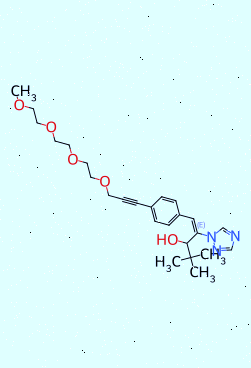 COCCOCCOCCOCC#Cc1ccc(/C=C(\C(O)C(C)(C)C)n2cncn2)cc1